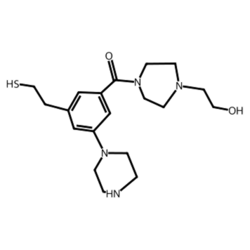 O=C(c1cc(CCS)cc(N2CCNCC2)c1)N1CCN(CCO)CC1